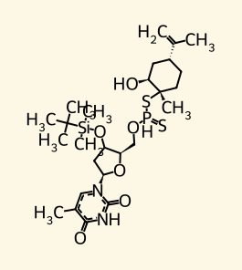 C=C(C)[C@@H]1CC[C@](C)(S[PH](=S)OC[C@H]2O[C@@H](n3cc(C)c(=O)[nH]c3=O)CC2O[Si](C)(C)C(C)(C)C)[C@@H](O)C1